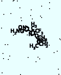 C=C(C)C[C@](C)(N)COc1cnc(-c2ccnc(OC(N)=O)c2)c(C)c1C(F)(F)F